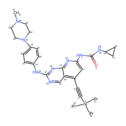 CC(C)[Si](C#Cc1cc(NC(=O)NC2CC2)nc2nc(Nc3ccc(N4CCN(C)CC4)cc3)ncc12)(C(C)C)C(C)C